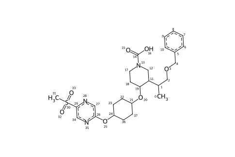 CC(COCc1ccccc1)C1CN(C(=O)O)CCC1OC1CCC(Oc2cnc(S(C)(=O)=O)cn2)CC1